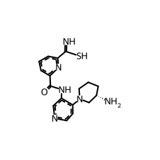 N=C(S)c1cccc(C(=O)Nc2cnccc2N2CCC[C@H](N)C2)n1